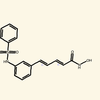 O=C(/C=C/C=C/c1cccc(NS(=O)(=O)c2ccccc2)c1)NO